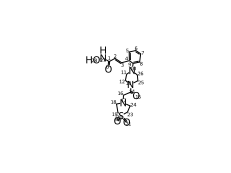 O=C(C=Cc1ccccc1N1CCN(C(=O)CN2CCS(=O)(=O)CC2)CC1)NO